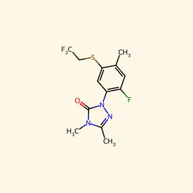 Cc1cc(F)c(-n2nc(C)n(C)c2=O)cc1SCC(F)(F)F